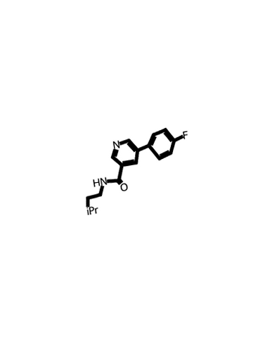 CC(C)CCNC(=O)c1cncc(-c2ccc(F)cc2)c1